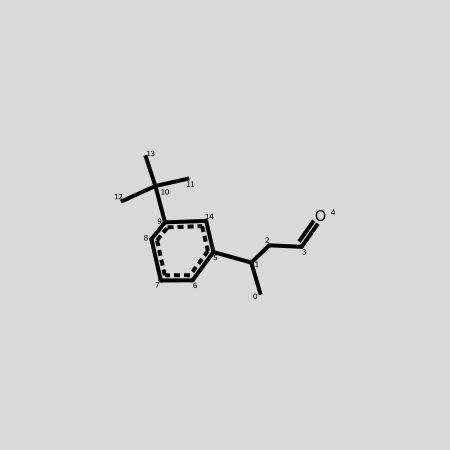 CC(CC=O)c1cccc(C(C)(C)C)c1